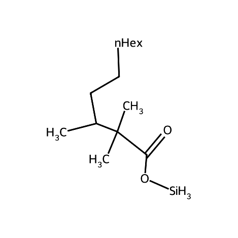 CCCCCCCCC(C)C(C)(C)C(=O)O[SiH3]